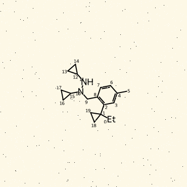 CCC1(c2cc(C)ccc2CN(NC2CC2)C2CC2)CC1